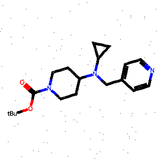 CC(C)(C)OC(=O)N1CCC(N(Cc2ccncc2)C2CC2)CC1